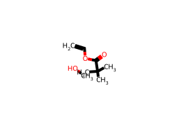 C=COC(=O)C(C)(C)C.CO